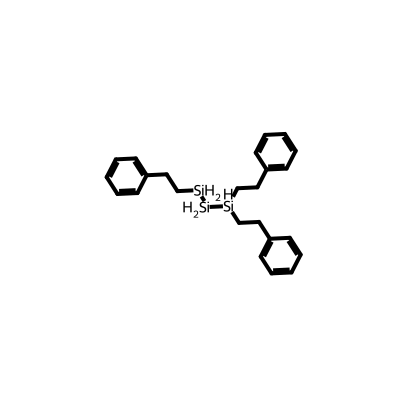 c1ccc(CC[SiH2][SiH2][SiH](CCc2ccccc2)CCc2ccccc2)cc1